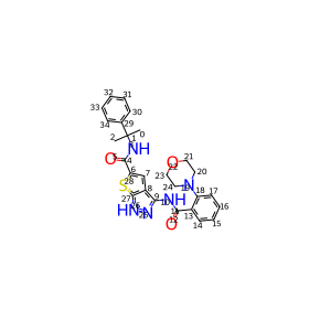 CC(C)(NC(=O)c1cc2c(NC(=O)c3ccccc3N3CCOCC3)n[nH]c2s1)c1ccccc1